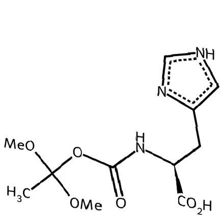 COC(C)(OC)OC(=O)N[C@@H](Cc1c[nH]cn1)C(=O)O